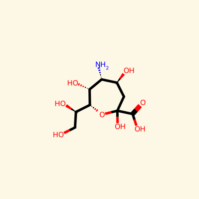 N[C@H]1[C@@H](O)[C@@H]([C@H](O)CO)OC(O)(C(=O)O)C[C@@H]1O